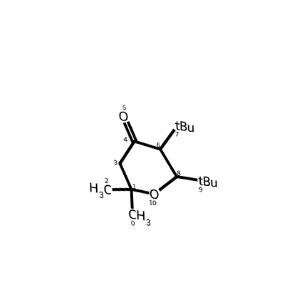 CC1(C)CC(=O)C(C(C)(C)C)C(C(C)(C)C)O1